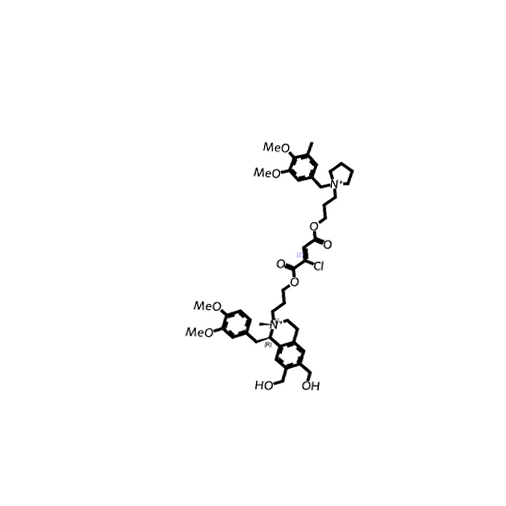 COc1ccc(C[C@@H]2c3cc(CO)c(CO)cc3CC[N@@+]2(C)CCCOC(=O)/C(Cl)=C/C(=O)OCCC[N+]2(Cc3cc(C)c(OC)c(OC)c3)CCCC2)cc1OC